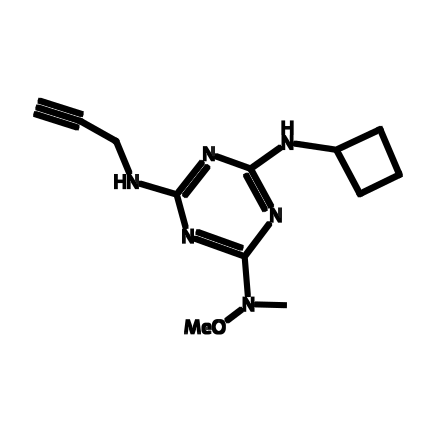 C#CCNc1nc(NC2CCC2)nc(N(C)OC)n1